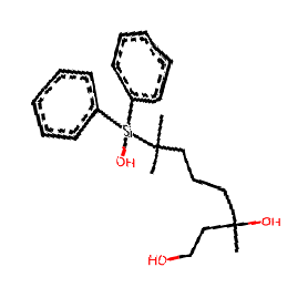 CC(O)(CCO)CCCC(C)(C)[Si](O)(c1ccccc1)c1ccccc1